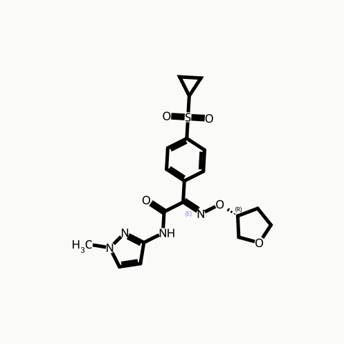 Cn1ccc(NC(=O)/C(=N/O[C@@H]2CCOC2)c2ccc(S(=O)(=O)C3CC3)cc2)n1